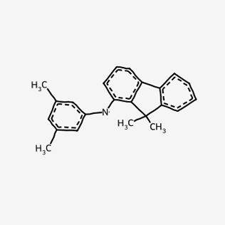 Cc1cc(C)cc([N]c2cccc3c2C(C)(C)c2ccccc2-3)c1